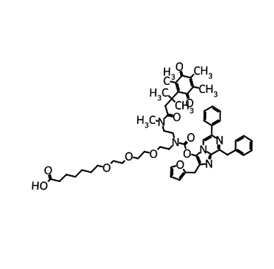 CC1=C(C)C(=O)C(C(C)(C)CC(=O)N(C)CCN(CCOCCOCCOCCCCCCC(=O)O)C(=O)Oc2c(Cc3ccco3)nc3c(Cc4ccccc4)nc(-c4ccccc4)cn23)=C(C)C1=O